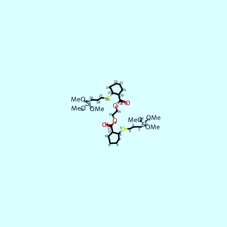 CO[Si](CCCSC1CCCCC1C(=O)OCCOC(=O)C1CCCCC1SCCC[Si](OC)(OC)OC)(OC)OC